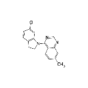 Cc1ccc2c(N3CCc4ccc(Cl)cc43)ncnc2c1